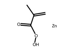 C=C(C)C(=O)OO.[Zn]